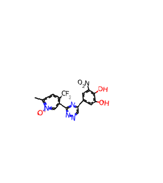 Cc1cc(C(F)(F)F)c(-c2nncc(-c3cc(O)c(O)c([N+](=O)[O-])c3)n2)c[n+]1[O-]